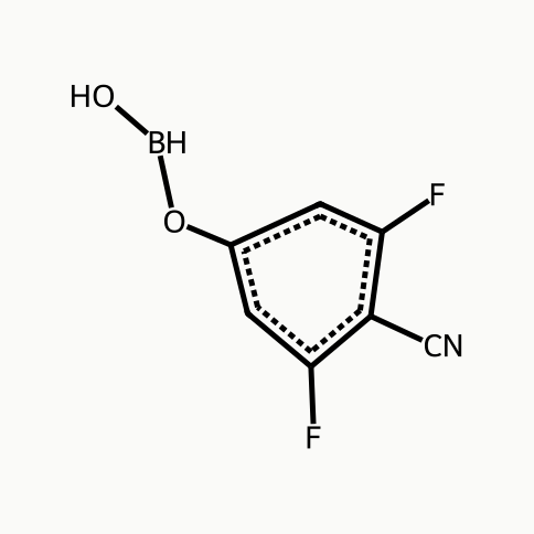 N#Cc1c(F)cc(OBO)cc1F